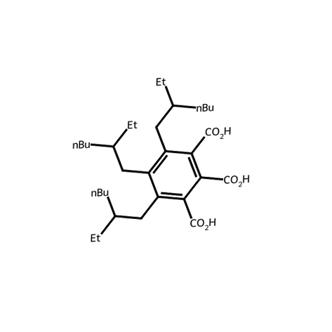 CCCCC(CC)Cc1c(CC(CC)CCCC)c(C(=O)O)c(C(=O)O)c(C(=O)O)c1CC(CC)CCCC